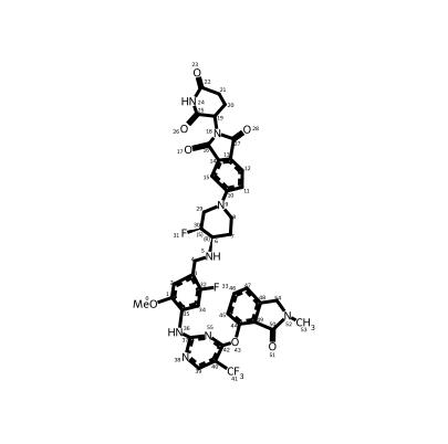 COc1cc(CN[C@@H]2CCN(c3ccc4c(c3)C(=O)N(C3CCC(=O)NC3=O)C4=O)C[C@@H]2F)c(F)cc1Nc1ncc(C(F)(F)F)c(Oc2cccc3c2C(=O)N(C)C3)n1